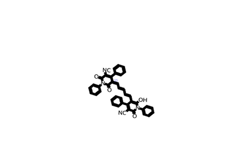 [C-]#[N+]C1=C(c2ccccc2)/C(=C/C=CC=Cc2c(-c3ccccc3)c(C#N)c(=O)n(-c3ccccc3)c2O)C(=O)N(c2ccccc2)C1=O